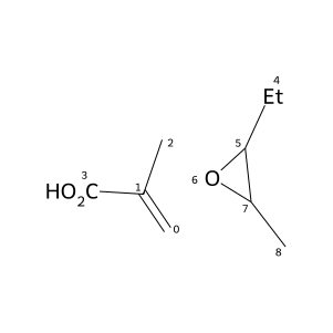 C=C(C)C(=O)O.CCC1OC1C